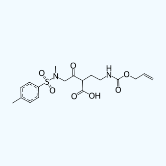 C=CCOC(=O)NCCC(C(=O)O)C(=O)CN(C)S(=O)(=O)c1ccc(C)cc1